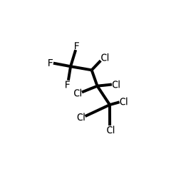 FC(F)(F)C(Cl)C(Cl)(Cl)C(Cl)(Cl)Cl